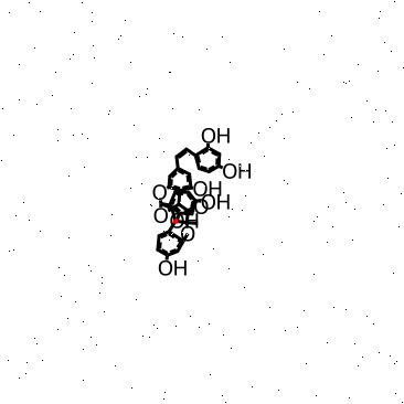 CC12Oc3cc(O)ccc3C1C13OC1(c1ccc(O)cc1O)Oc1cc(/C=C\c4ccc(O)cc4O)cc(O)c1C3C2=O